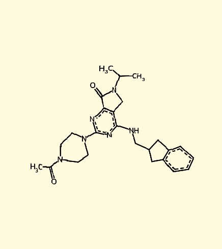 CC(=O)N1CCN(c2nc(NCC3Cc4ccccc4C3)c3c(n2)C(=O)N(C(C)C)C3)CC1